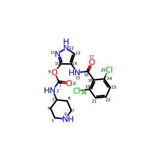 O=C(NC1CCNCC1)Oc1n[nH]cc1NC(=O)c1c(Cl)cccc1Cl